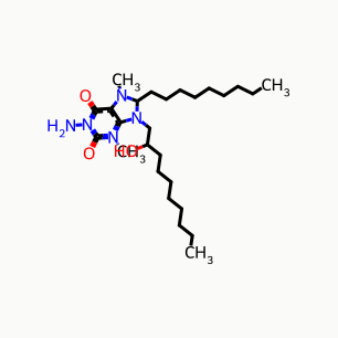 CCCCCCCCCC1N(C)c2c(n(C)c(=O)n(N)c2=O)N1CC(O)CCCCCCCC